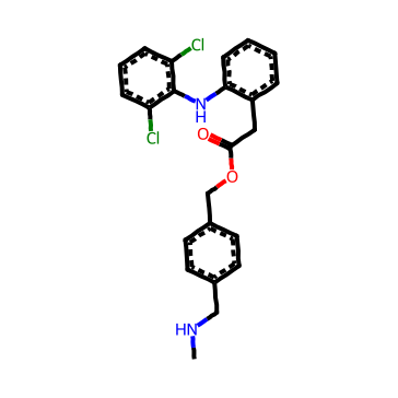 CNCc1ccc(COC(=O)Cc2ccccc2Nc2c(Cl)cccc2Cl)cc1